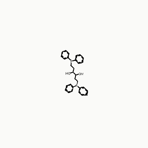 OC(CCP(c1ccccc1)c1ccccc1)C(O)CCP(c1ccccc1)c1ccccc1